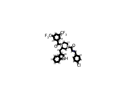 O=C(/C=C/c1ccc(Cl)cc1)N1CCN(C(=O)c2cc(C(F)(F)F)cc(C(F)(F)F)c2)C(Cc2c[nH]c3ccccc23)C1